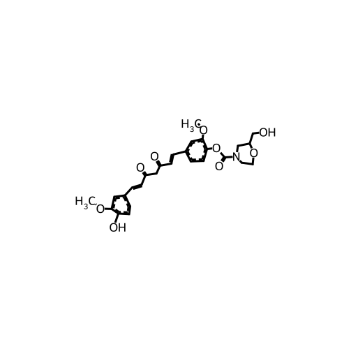 COc1cc(/C=C/C(=O)CC(=O)/C=C/c2ccc(OC(=O)N3CCOC(CO)C3)c(OC)c2)ccc1O